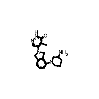 Cc1c(N2Cc3cccc(N4CCCC(N)C4)c3C2)cn[nH]c1=O